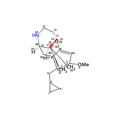 COc1cc(CC2CC2)c2c(c1)[C@]13CCN[C@H](C2)[C@@H]1OC(C)(C)OC3